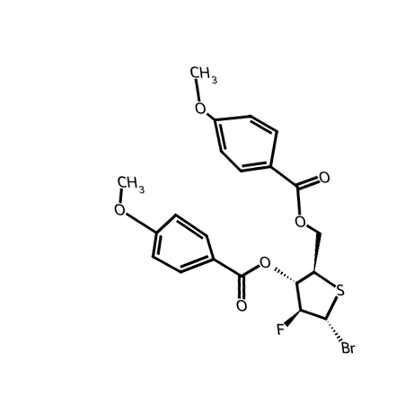 COc1ccc(C(=O)OC[C@H]2S[C@H](Br)[C@@H](F)[C@@H]2OC(=O)c2ccc(OC)cc2)cc1